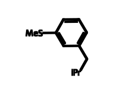 CSc1cccc(CC(C)C)c1